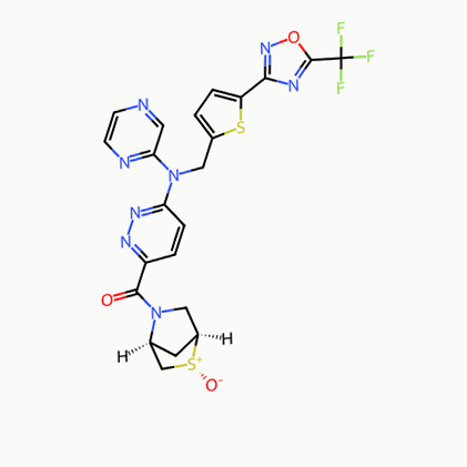 O=C(c1ccc(N(Cc2ccc(-c3noc(C(F)(F)F)n3)s2)c2cnccn2)nn1)N1C[C@@H]2C[C@H]1C[S@@+]2[O-]